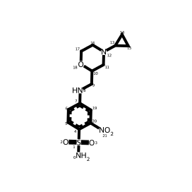 NS(=O)(=O)c1ccc(NCC2CN(C3CC3)CCO2)cc1[N+](=O)[O-]